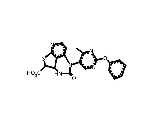 Cc1nc(Oc2ccccc2)ncc1N1C(=O)NC2c3c1ccnc3SC2C(=O)O